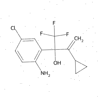 C=C(C1CC1)C(O)(c1cc(Cl)ccc1N)C(F)(F)F